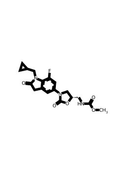 COC(=O)NC[C@H]1CN(c2cc(F)c3c(c2)CC(=O)N3CC2CC2)C(=O)O1